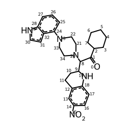 O=C(C1CCCCC1)C(C1CCc2cc([N+](=O)[O-])ccc2N1)N1CCN(c2cccc3[nH]ccc23)CC1